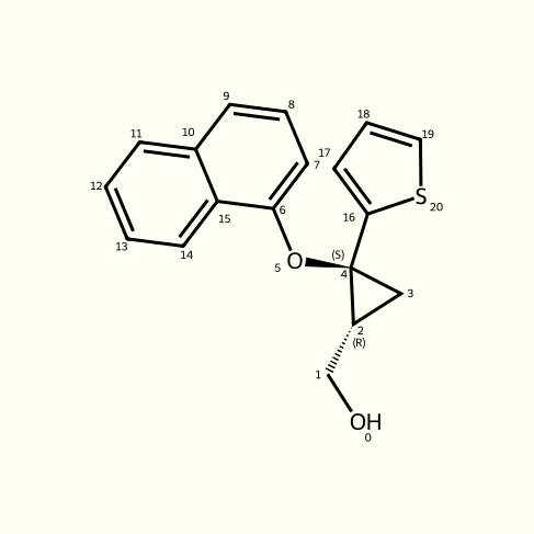 OC[C@H]1C[C@@]1(Oc1cccc2ccccc12)c1cccs1